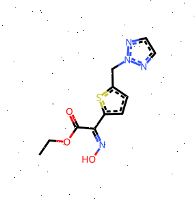 CCOC(=O)C(=NO)c1ccc(Cn2nccn2)s1